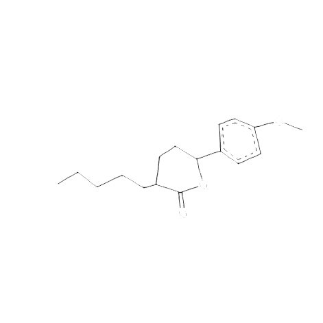 CCCCCC1CCC(c2ccc(OC)cc2)OC1=O